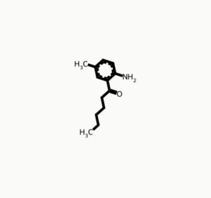 CCCCCC(=O)c1cc(C)ccc1N